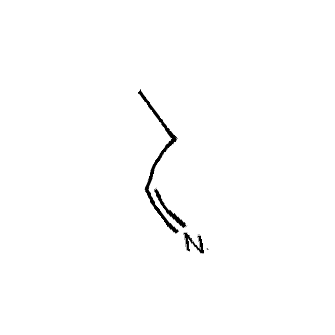 CCC=[N]